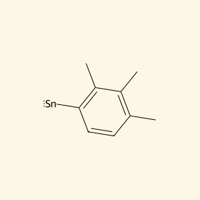 Cc1cc[c]([Sn])c(C)c1C